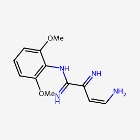 COc1cccc(OC)c1NC(=N)C(=N)/C=C\N